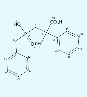 CCCC(CP(=O)(O)Cc1ccccc1)(C(=O)O)c1cccnc1